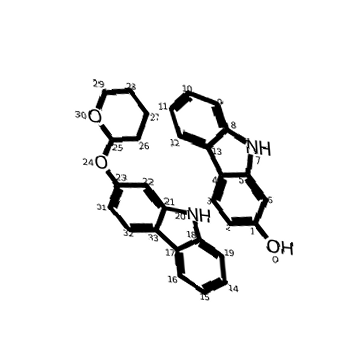 Oc1ccc2c(c1)[nH]c1ccccc12.c1ccc2c(c1)[nH]c1cc(OC3CCCCO3)ccc12